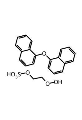 O=S(=O)(O)OCCOO.c1ccc2c(Oc3cccc4ccccc34)cccc2c1